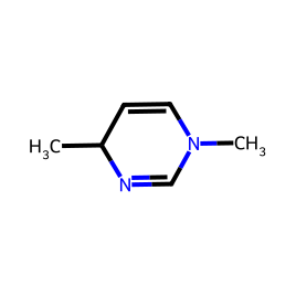 CC1C=CN(C)C=N1